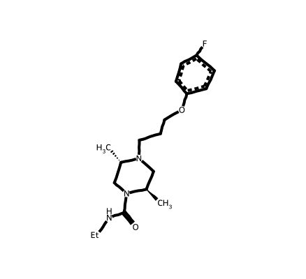 CCNC(=O)N1C[C@H](C)N(CCCOc2ccc(F)cc2)C[C@H]1C